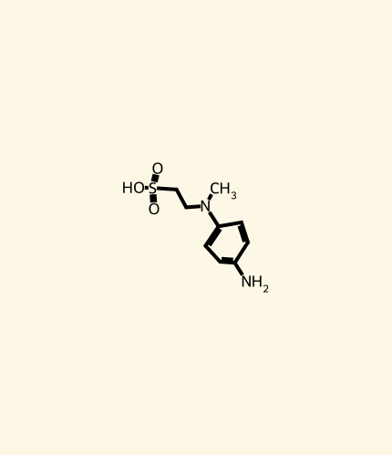 CN(CCS(=O)(=O)O)c1ccc(N)cc1